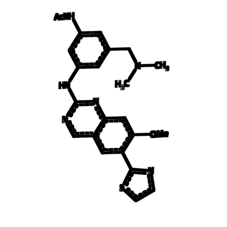 COc1cc2nc(Nc3cc(CN(C)C)cc(NC(C)=O)c3)ncc2cc1-c1nccs1